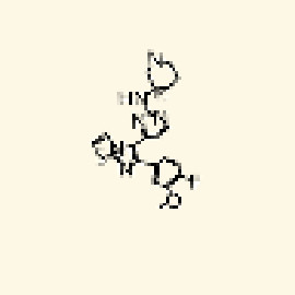 COc1cc(-c2nc3sccn3c2-c2ccnc(N[C@@H]3CCCN(C)C3)n2)ccc1F